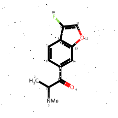 CNC(C)C(=O)c1ccc2c(F)coc2c1